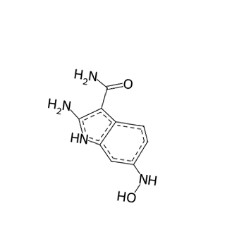 NC(=O)c1c(N)[nH]c2cc(NO)ccc12